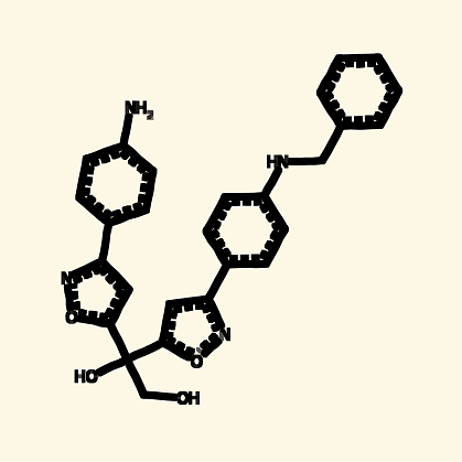 Nc1ccc(-c2cc(C(O)(CO)c3cc(-c4ccc(NCc5ccccc5)cc4)no3)on2)cc1